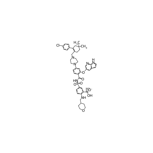 CC1(C)CCC(CN2CCN(c3ccc(C(=O)NS(=O)(=O)c4ccc(NCC5CCOCC5)c([NH+]([O-])O)c4)c(Oc4cnc5[nH]ccc5c4)c3)CC2)=C(c2ccc(Cl)cc2)C1